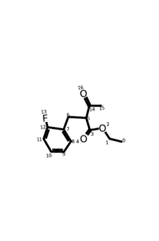 CCOC(=O)C(Cc1ccccc1F)C(C)=O